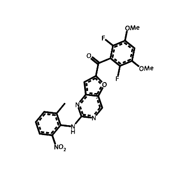 COc1cc(OC)c(F)c(C(=O)c2cc3nc(Nc4c(C)cccc4[N+](=O)[O-])ncc3o2)c1F